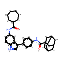 O=C(Nc1ccc2[nH]cc(-c3ccc(NC(=O)C45CC6CC(CC(C6)C4)C5)cc3)c2c1)C1CCCCCC1